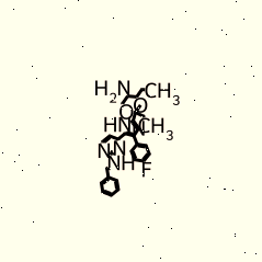 CCC1OC(CC)(c2nc(-c3ccc(F)cc3)c(-c3ccnc(NCc4ccccc4)n3)[nH]2)OCC1N